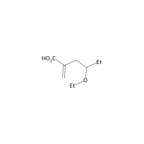 C=C(CC(CC)OCC)C(=O)O